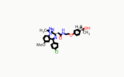 COc1ccc2c(c1)C(c1ccc(Cl)cc1)=N[C@@H](CC(=O)NCCOc1ccc([Si](C)(C)O)cc1)c1nnc(C)n1-2